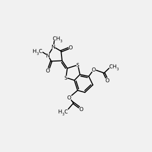 CC(=O)Oc1ccc(OC(C)=O)c2c1SC(=C1C(=O)N(C)N(C)C1=O)S2